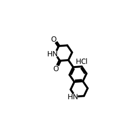 Cl.O=C1CCC(c2ccc3c(c2)CNCC3)C(=O)N1